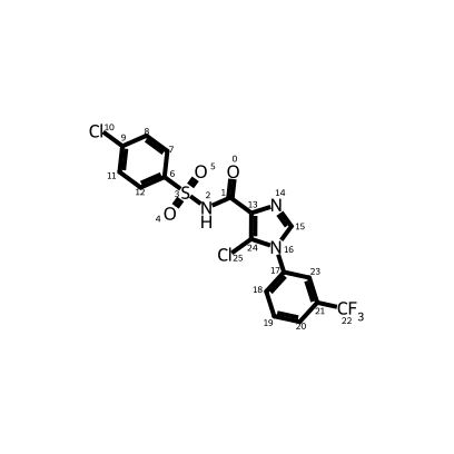 O=C(NS(=O)(=O)c1ccc(Cl)cc1)c1ncn(-c2cccc(C(F)(F)F)c2)c1Cl